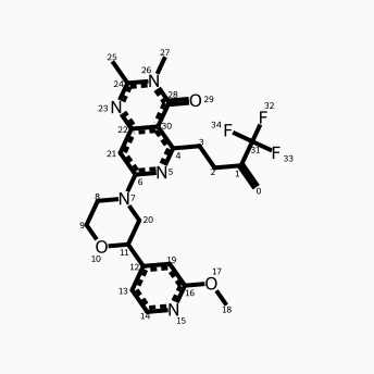 C=C(CCc1nc(N2CCOC(c3ccnc(OC)c3)C2)cc2nc(C)n(C)c(=O)c12)C(F)(F)F